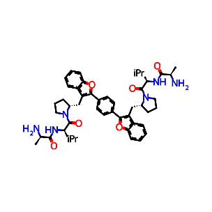 CC(C)[C@@H](NC(=O)[C@@H](C)N)C(=O)N1CCC[C@@H]1Cc1c(-c2ccc(-c3oc4ccccc4c3C[C@H]3CCCN3C(=O)[C@H](NC(=O)[C@@H](C)N)C(C)C)cc2)oc2ccccc12